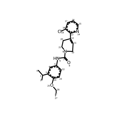 CC(C)c1cc(NC(=O)N2CC=C(c3ncccc3Cl)CC2)ccc1OCF